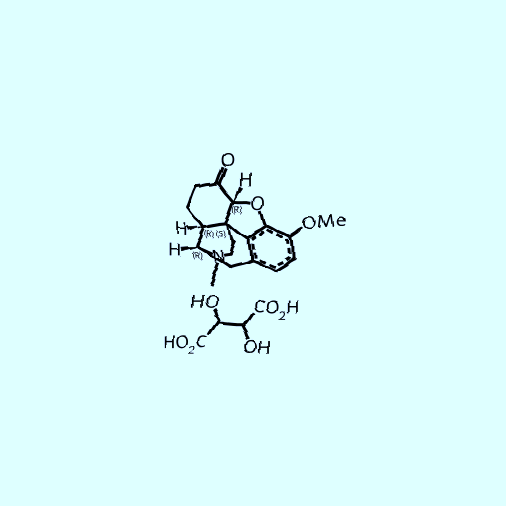 COc1ccc2c3c1O[C@H]1C(=O)CC[C@H]4[C@@H](C2)N(C)CC[C@]314.O=C(O)C(O)C(O)C(=O)O